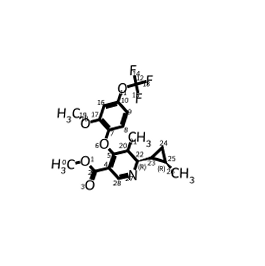 COC(=O)C1=C(Oc2ccc(OC(F)(F)F)cc2OC)C(C)[C@@H](C2C[C@H]2C)N=C1